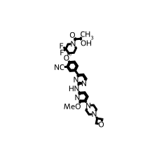 COc1nc(Nc2nccc(-c3ccc(O[C@H]4CCN(C(=O)C(C)O)CC4(F)F)c(C#N)c3)n2)ccc1N1CCN(C2COC2)CC1